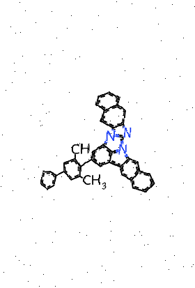 Cc1cc(-c2ccccc2)cc(C)c1-c1cc2c3cc4ccccc4cc3n3c2c(c1)n1c2cc4ccccc4cc2nc13